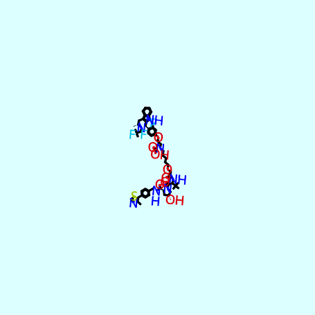 Cc1ncsc1-c1ccc(CNC(=O)[C@@H]2C[C@@H](O)CN2C(=O)C(NC(=O)COCCCCCN(CCOc2cc(F)c([C@@H]3c4[nH]c5ccccc5c4C[C@@H](C)N3CC(C)(C)F)c(F)c2)C(=O)O)C(C)(C)C)cc1